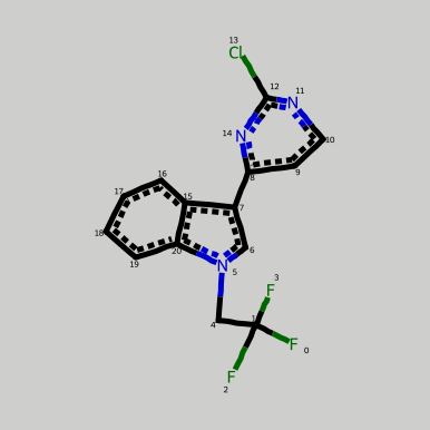 FC(F)(F)Cn1cc(-c2ccnc(Cl)n2)c2ccccc21